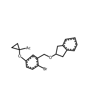 CC(=O)C1(Oc2ccc(Br)c(COC3Cc4ccccc4C3)c2)CC1